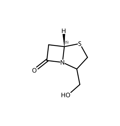 O=C1C[C@@H]2SCC(CO)N12